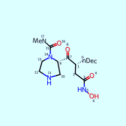 CCCCCCCCCC[C@H](CC(=O)NO)C(=O)[C@@H]1CNCCN1C(=O)NC